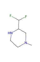 CN1CCNC(C(F)F)C1